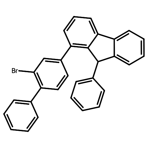 Brc1cc(-c2cccc3c2C(c2ccccc2)c2ccccc2-3)ccc1-c1ccccc1